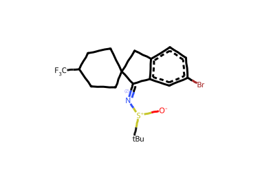 CC(C)(C)[S+]([O-])/N=C1\c2cc(Br)ccc2CC12CCC(C(F)(F)F)CC2